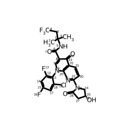 CC(C)(CC(F)(F)F)NC(=O)c1cn(-c2c(F)cc(F)cc2Cl)c2nc(N3C[C@@H](O)CC3=O)ccc2c1=O